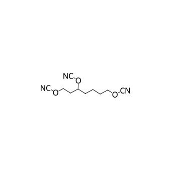 N#COCCCCC(CCOC#N)OC#N